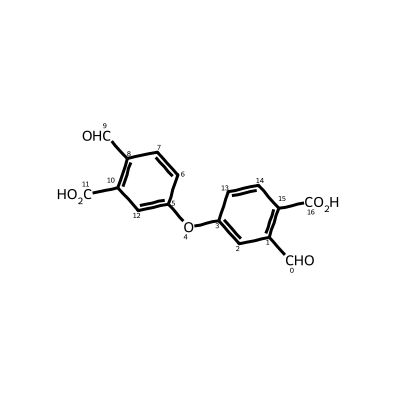 O=Cc1cc(Oc2ccc(C=O)c(C(=O)O)c2)ccc1C(=O)O